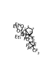 CCO[Si](OCC)(OCC)C12CCC(C1)C(F)(OC(F)(F)C(F)(F)C(F)(F)F)C2(F)F